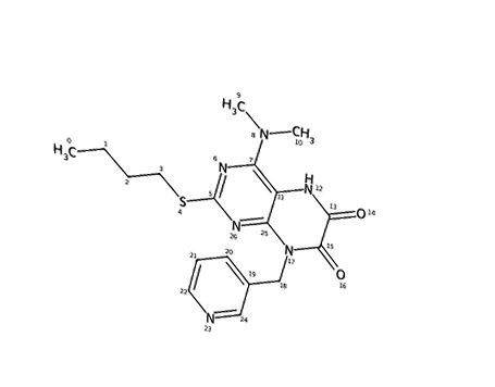 CCCCSc1nc(N(C)C)c2[nH]c(=O)c(=O)n(Cc3cccnc3)c2n1